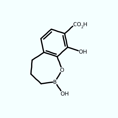 O=C(O)c1ccc2c(c1O)OB(O)CCC2